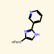 CCCCCc1c[nH]c(-c2cccnc2)n1